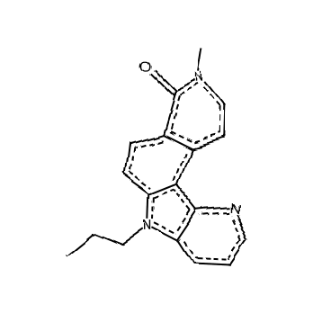 CCCn1c2cccnc2c2c3ccn(C)c(=O)c3ccc21